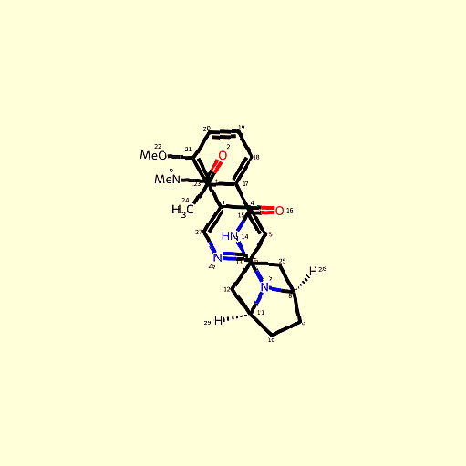 CNC(=O)c1ccc(N2[C@@H]3CC[C@H]2C[C@@H](NC(=O)c2cccc(OC)c2C)C3)nc1